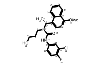 COc1ncc([C@@H](C)N(CCCO)C(=O)Nc2ccc(F)c(Cl)c2)c2ccccc12